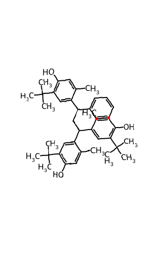 Cc1cc(O)c(C(C)(C)C)cc1C(CC(c1cc(C(C)(C)C)c(O)cc1C)c1cc(C(C)(C)C)c(O)cc1C)c1ccccc1